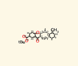 CCCc1c(C2CC2c2ccccc2C)oc2ccc(C(=O)OC(C)(C)C)cc2c1=O